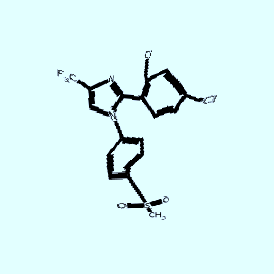 CS(=O)(=O)c1ccc(-n2cc(C(F)(F)F)nc2-c2ccc(Cl)cc2Cl)cc1